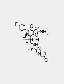 C[C@]1(C(N)=O)COc2c1cc(C(O)(CNC(=O)c1cn3cc(Cl)ccc3n1)C(F)(F)F)nc2-c1ccc(F)cc1